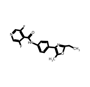 CCc1nc(-c2ccc(NC(=O)c3c(F)cncc3F)cc2)c(C)o1